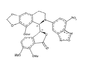 COc1ccc2c(c1OC)C(=O)O[C@@H]2[C@H]1c2c(cc3c(c2OC)OCO3)CCN1c1cc([N+](=O)[O-])c2nonc2c1